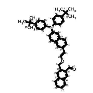 CC(C)(C)c1ccc(N(c2ccc(C(C)(C)C)cc2)c2ccc3cc(C=COCc4cc5ccccc5cc4C=O)ccc3c2)cc1